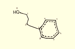 OC[C]c1ccccc1